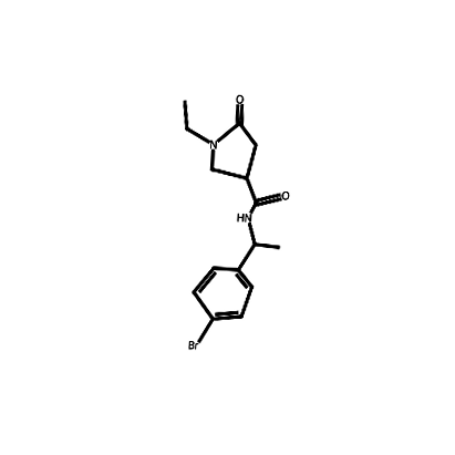 CCN1CC(C(=O)NC(C)c2ccc(Br)cc2)CC1=O